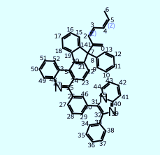 C=C(/C=C\C=C/C)C1(c2ccccc2)c2ccccc2-c2c1ccc1c(-c3cccc(-c4c(-c5ccccc5)nc5ccccn45)c3)nc3ccccc3c21